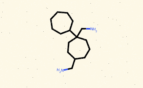 NCC1CCCC(CN)(C2CCCCCC2)CC1